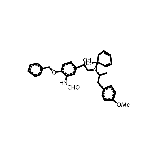 CC[C@]1(N(CC(O)c2ccc(OCc3ccccc3)c(NC=O)c2)C(C)Cc2ccc(OC)cc2)C=CC=CC1